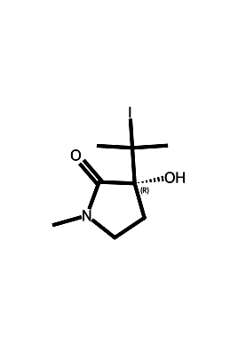 CN1CC[C@](O)(C(C)(C)I)C1=O